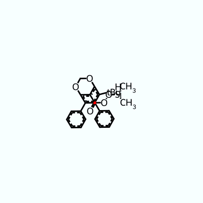 C[SiH](C)OOC(=O)c1c2c(-c3ccccc3)c(-c3ccccc3)c(C(C)(C)C)c1OCO2